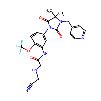 CC1(C)C(=O)N(c2ccc(OC(F)(F)F)c(NC(=O)CNCC#N)c2)C(=O)N1Cc1ccncc1